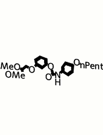 CCCCCOc1ccc(NC(=O)Oc2cccc(OCC(OC)OC)c2)cc1